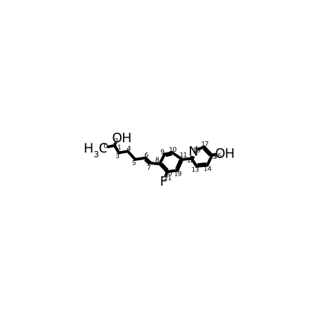 CC(O)CCC/C=C/c1ccc(-c2ccc(O)cn2)cc1F